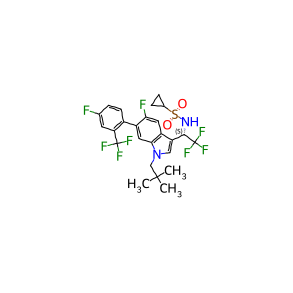 CC(C)(C)Cn1cc([C@H](NS(=O)(=O)C2CC2)C(F)(F)F)c2cc(F)c(-c3ccc(F)cc3C(F)(F)F)cc21